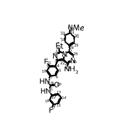 CCc1nc(-c2ccc(NC(=O)Nc3cccc(F)c3)cc2F)c2c(N)ncc(C3=CCC(NC)CC3)n12